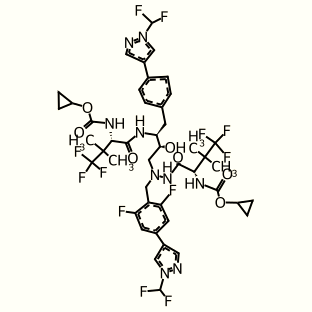 CC(C)([C@H](NC(=O)OC1CC1)C(=O)N[C@@H](Cc1ccc(-c2cnn(C(F)F)c2)cc1)[C@@H](O)CN(Cc1c(F)cc(-c2cnn(C(F)F)c2)cc1F)NC(=O)[C@@H](NC(=O)OC1CC1)C(C)(C)C(F)(F)F)C(F)(F)F